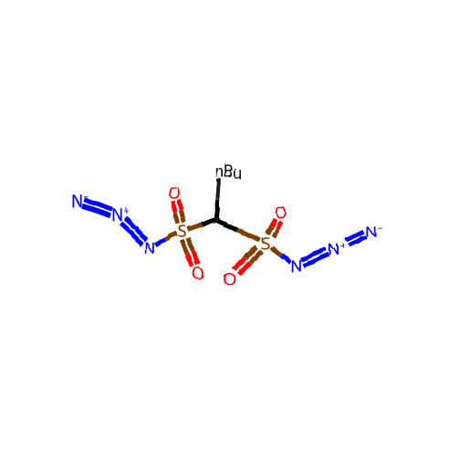 CCCCC(S(=O)(=O)N=[N+]=[N-])S(=O)(=O)N=[N+]=[N-]